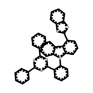 c1ccc(-c2nc(-c3ccccc3)nc(-c3ccccc3-n3c4ccccc4c4c(-c5nc6ccccc6s5)cccc43)n2)cc1